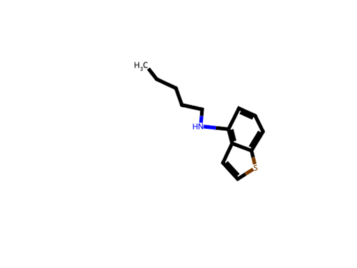 CCCCCNc1cccc2sccc12